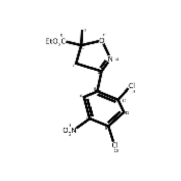 CCOC(=O)C1(C)CC(c2cc([N+](=O)[O-])c(Cl)cc2Cl)=NO1